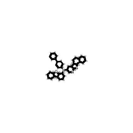 C1=CC(c2ccccc2)CC=C1N(c1cnc2sc3c4ccccc4ccc3c2c1)c1cccc2c1oc1ccccc12